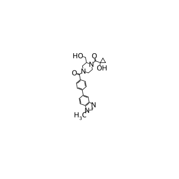 Cn1cnc2cc(-c3ccc(C(=O)N4CCN(C(=O)C5(O)CC5)C(CO)C4)cc3)ccc21